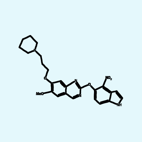 COc1cc2cnc(Oc3ccc4[nH]ccc4c3[N+](=O)[O-])nc2cc1OCCCN1CCCCC1